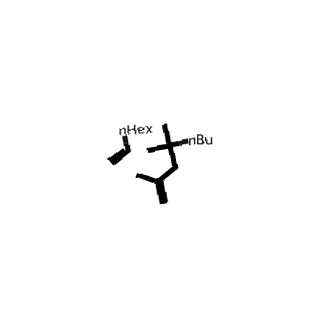 C=C(C)CC(C)(C)CCCC.C=CCCCCCC